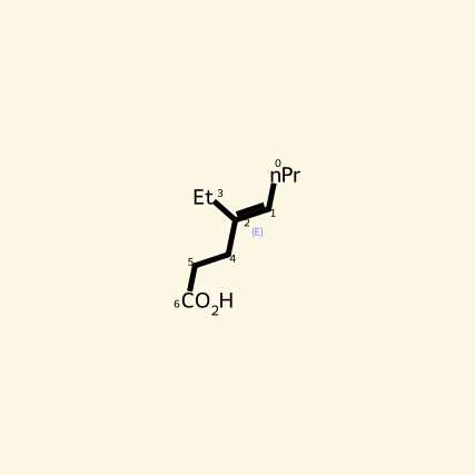 CCC/C=C(\CC)CCC(=O)O